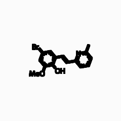 COc1cc(Br)cc(/C=C/c2cccc(C)n2)c1O